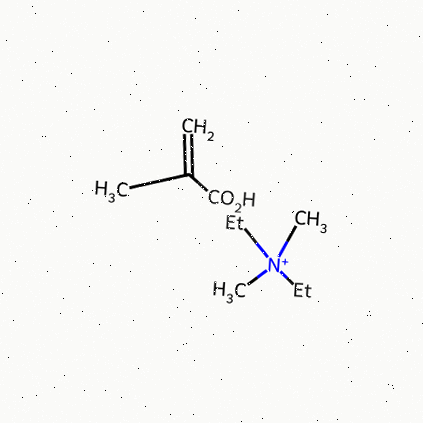 C=C(C)C(=O)O.CC[N+](C)(C)CC